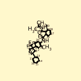 Cc1cc(C2(C(F)(F)F)C=NC(c3ccccc3)C2)ccc1NC(=O)c1cccc(I)c1C(=O)NC(C)C